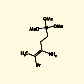 CO[Si](CCC(N)=C(C)C(C)C)(OC)OC